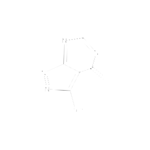 CCCC1=C2C(=O)N=CN=C2N=N1